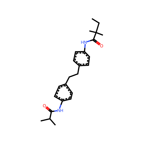 CCC(C)(C)C(=O)Nc1ccc(CCc2ccc(NC(=O)C(C)C)cc2)cc1